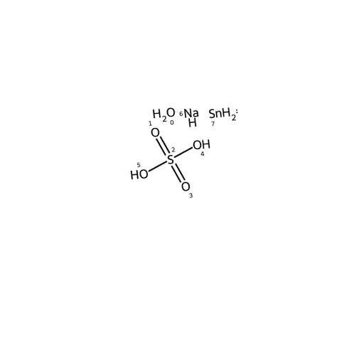 O.O=S(=O)(O)O.[NaH].[SnH2]